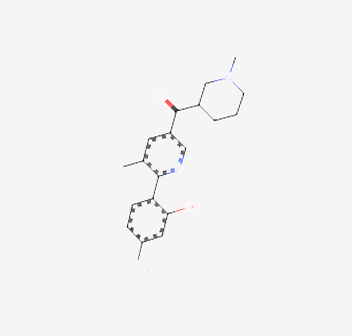 Cc1cc(C(=O)C2CCCN(C)C2)cnc1-c1ccc(C(F)(F)F)cc1O